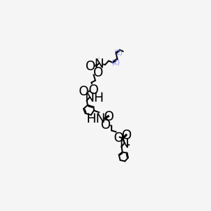 C/C=C\C=C/CCN(C)C(=O)OCCCOC(=O)NCC1=CC(CNC(=O)OCCCOC(=O)N(C)CC2=CCCC=C2)CC=C1